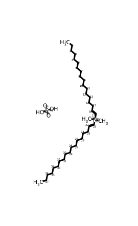 CCCCCCCCCCCCCCCCC=C[N+](C)(C)C=CCCCCCCCCCCCCCCCC.O=S(=O)(O)O